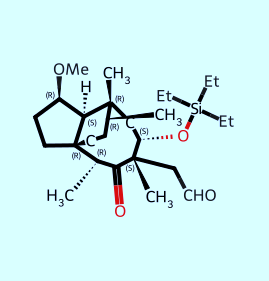 CC[Si](CC)(CC)O[C@H]1C[C@]2(C)[C@H](C)CC[C@]3(CC[C@@H](OC)[C@@H]23)[C@@H](C)C(=O)[C@@]1(C)CC=O